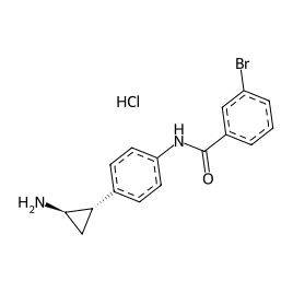 Cl.N[C@@H]1C[C@H]1c1ccc(NC(=O)c2cccc(Br)c2)cc1